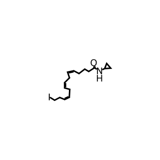 O=C(CCC/C=C\C/C=C\C/C=C\CCI)NC1CC1